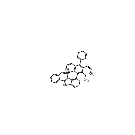 C#Cc1c(/C=C\C)c(C2=CCCC=C2)c(/C=C\C)c(CC)c1C1=c2c([nH]c3c2ccc2ccccc23)=CCC1